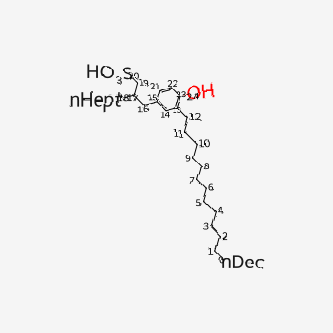 CCCCCCCCCCCCCCCCCCCCCCc1cc(CC(CCCCCCC)CS(=O)(=O)O)ccc1O